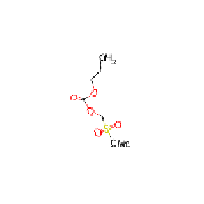 C=CCOC(=O)OCS(=O)(=O)OC